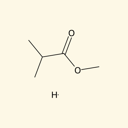 COC(=O)C(C)C.[H]